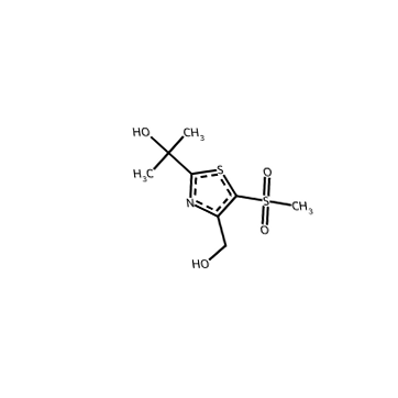 CC(C)(O)c1nc(CO)c(S(C)(=O)=O)s1